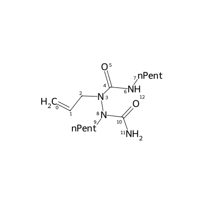 C=CCN(C(=O)NCCCCC)N(CCCCC)C(N)=O